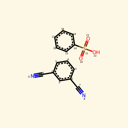 N#Cc1cccc(C#N)c1.O=S(=O)(O)c1ccccc1